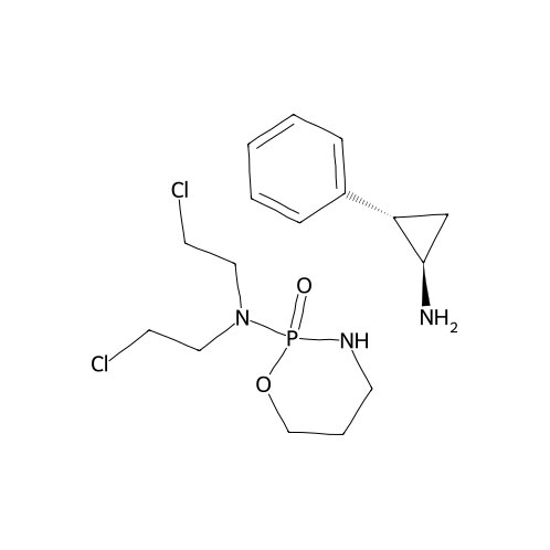 N[C@@H]1C[C@H]1c1ccccc1.O=P1(N(CCCl)CCCl)NCCCO1